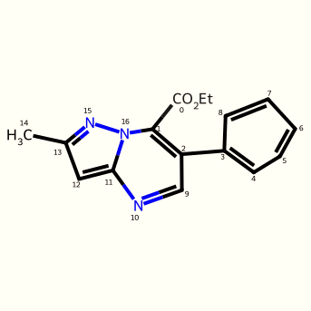 CCOC(=O)c1c(-c2ccccc2)cnc2cc(C)nn12